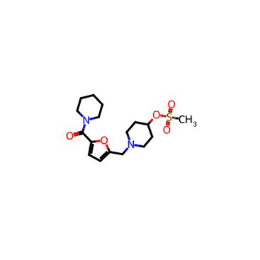 CS(=O)(=O)OC1CCN(Cc2ccc(C(=O)N3CCCCC3)o2)CC1